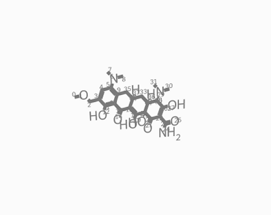 COCc1cc(N(C)C)c2c(c1O)C(=O)C1=C(O)[C@]3(O)C(=O)C(C(N)=O)=C(O)[C@H](N(C)C)[C@@H]3C[C@@H]1C2